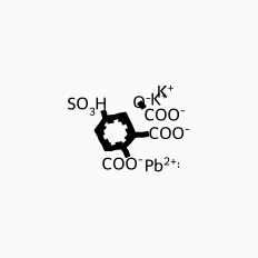 O=C([O-])[O-].O=C([O-])c1ccc(S(=O)(=O)O)cc1C(=O)[O-].[K+].[K+].[Pb+2]